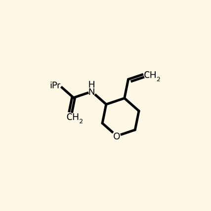 C=CC1CCOCC1NC(=C)C(C)C